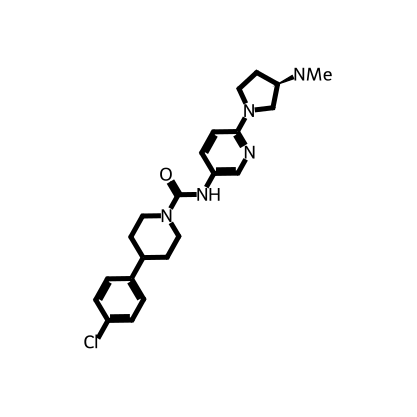 CN[C@@H]1CCN(c2ccc(NC(=O)N3CCC(c4ccc(Cl)cc4)CC3)cn2)C1